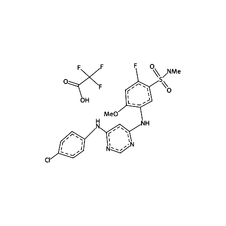 CNS(=O)(=O)c1cc(Nc2cc(Nc3ccc(Cl)cc3)ncn2)c(OC)cc1F.O=C(O)C(F)(F)F